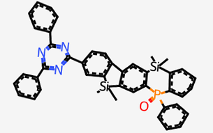 C[Si]1(C)c2cc(-c3nc(-c4ccccc4)nc(-c4ccccc4)n3)ccc2-c2cc3c(cc21)P(=O)(c1ccccc1)c1ccccc1[Si]3(C)C